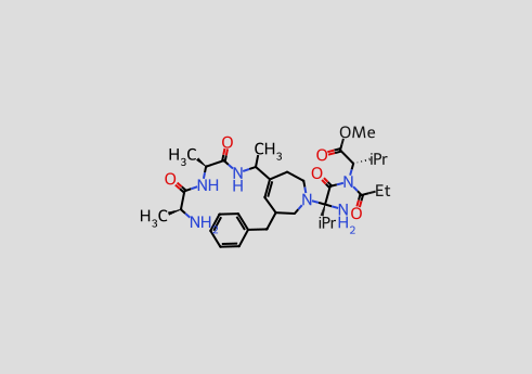 CCC(=O)N(C(=O)[C@@](N)(C(C)C)N1CCC(C(C)NC(=O)[C@H](C)NC(=O)[C@H](C)N)=CC(Cc2ccccc2)C1)[C@H](C(=O)OC)C(C)C